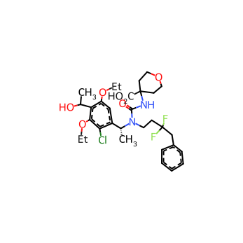 CCOc1cc([C@@H](C)N(CCC(F)(F)Cc2ccccc2)C(=O)NC2(C(=O)O)CCOCC2)c(Cl)c(OCC)c1C(C)O